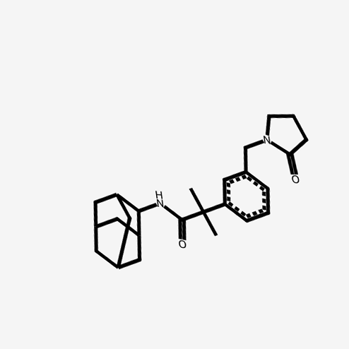 CC(C)(C(=O)NC1C2CC3CC(C2)CC1C3)c1cccc(CN2CCCC2=O)c1